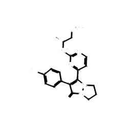 COC[C@H](C)Nc1nccc(-c2c(-c3ccc(F)cc3)c(=O)n3n2CCC3)n1